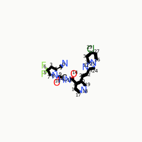 N#C[C@@H]1CC(F)(F)CN1C(=O)CNC(=O)c1ccncc1/C=C/c1cn2ccc(Cl)cc2n1